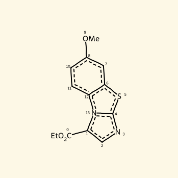 CCOC(=O)c1cnc2sc3cc(OC)ccc3n12